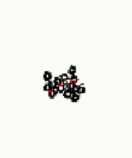 c1ccc(-c2ccccc2-c2ccccc2N(c2ccc3c(c2)C(c2ccccc2)(c2ccccc2)c2ccccc2-3)c2ccc3c(c2)C2(c4ccccc4-3)c3ccccc3N(c3ccccc3)c3ccccc32)cc1